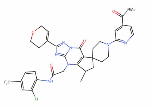 CNC(=O)c1ccnc(N2CCC3(CC2)CC(C)c2c3c(=O)n3nc(C4=CCOCC4)nc3n2CC(=O)Nc2ccc(C(F)(F)F)cc2Cl)c1